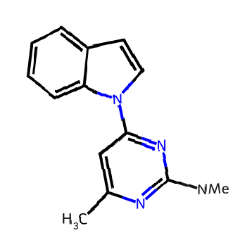 CNc1nc(C)cc(-n2ccc3ccccc32)n1